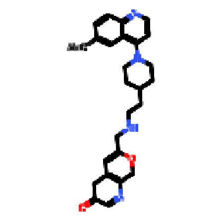 COc1ccc2nccc(N3CCC(CCNCC4=CC5=C(CO4)N=CC(=O)C5)CC3)c2c1